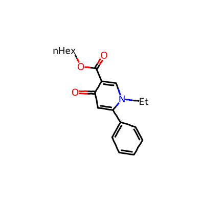 CCCCCCOC(=O)c1cn(CC)c(-c2ccccc2)cc1=O